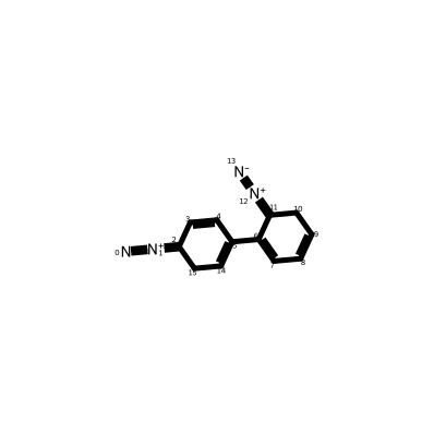 [N-]=[N+]=C1C=CC(C2=CC=CCC2=[N+]=[N-])=CC1